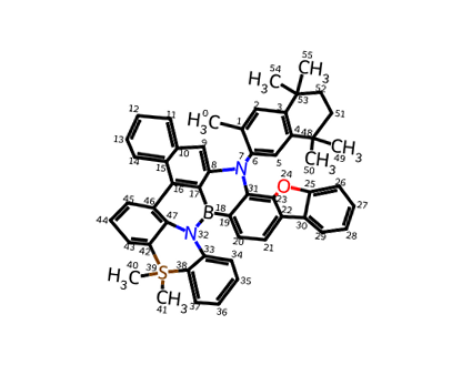 Cc1cc2c(cc1N1c3cc4ccccc4c4c3B(c3ccc5c(oc6ccccc65)c31)N1c3ccccc3S(C)(C)c3cccc-4c31)C(C)(C)CCC2(C)C